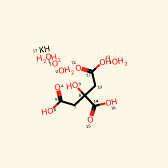 O.O.O.O.O=C(O)CC(O)(CC(=O)O)C(=O)O.[KH]